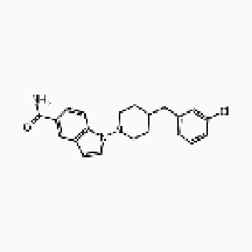 NC(=O)c1ccc2c(ccn2N2CCC(Cc3cccc(Cl)c3)CC2)c1